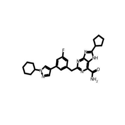 NC(=O)c1nc(Cc2cc(F)cc(-c3cnn(C4CCCCC4)c3)c2)nc2nc(C3CCCC3)[nH]c12